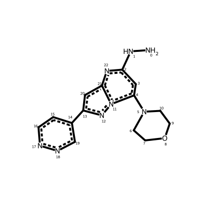 NNc1cc(N2CCOCC2)n2nc(-c3ccnnc3)cc2n1